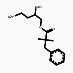 CCCCCCCCCCCCC(CCCCCCCCCC)COC(=O)C(C)(C)Cc1ccccc1